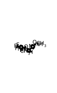 CNC(=O)c1ccc(-c2cc(NC(=O)c3ccc(C(F)(F)F)nc3C)ccc2I)nc1